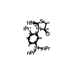 CCCN(CCC)c1ccc(C(C)C)c(N2C(=N)SCC2=O)c1